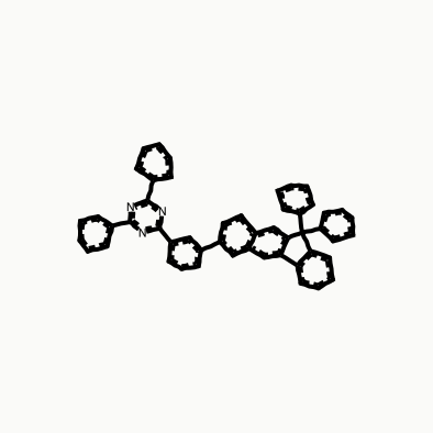 c1ccc(-c2nc(-c3ccccc3)nc(-c3cccc(-c4ccc5cc6c(cc5c4)-c4ccccc4C6(c4ccccc4)c4ccccc4)c3)n2)cc1